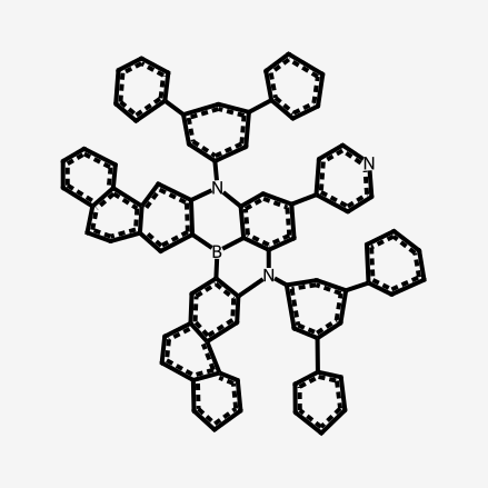 c1ccc(-c2cc(-c3ccccc3)cc(N3c4cc5c(ccc6ccccc65)cc4B4c5cc6ccc7ccccc7c6cc5N(c5cc(-c6ccccc6)cc(-c6ccccc6)c5)c5cc(-c6ccncc6)cc3c54)c2)cc1